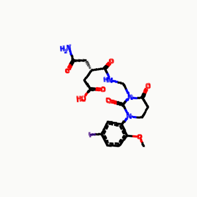 COc1ccc(I)cc1N1CCC(=O)N(CNC(=O)[C@@H](CC(N)=O)CC(=O)O)C1=O